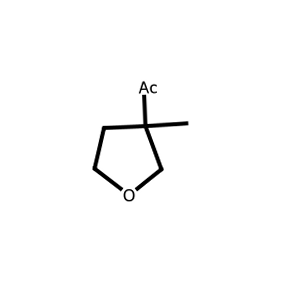 CC(=O)C1(C)CCOC1